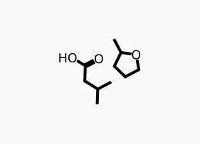 CC(C)CC(=O)O.CC1CCCO1